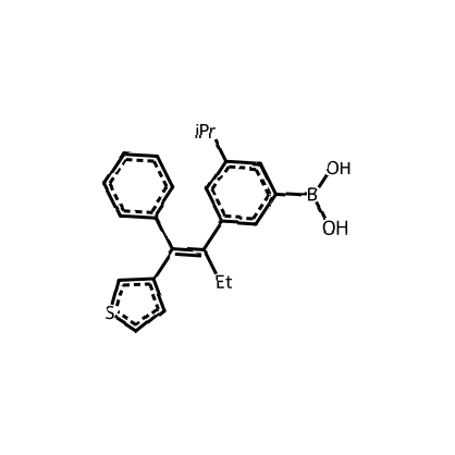 CC/C(=C(/c1ccccc1)c1ccsc1)c1cc(B(O)O)cc(C(C)C)c1